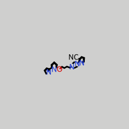 N#Cc1cccnc1N1CCN(CCCCOc2cccc(C3=NCC=C3)n2)CC1